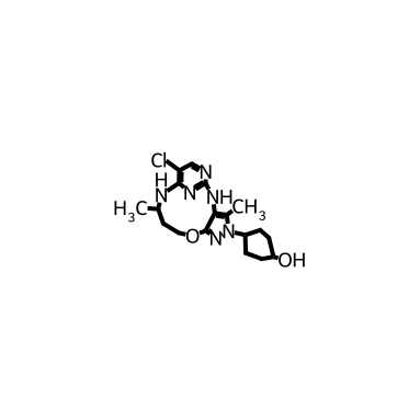 Cc1c2c(nn1C1CCC(O)CC1)OCCC(C)Nc1nc(ncc1Cl)N2